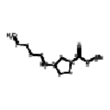 C=CCCCN[C@@H]1CCN(C(=O)OC(C)(C)C)C1